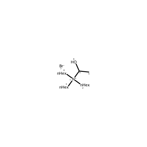 CCCCCC[N+](CCCCCC)(CCCCCC)C(C)O.[Br-]